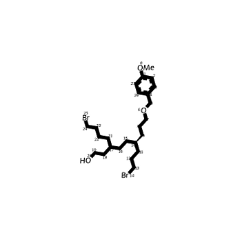 COc1ccc(COCCC[C@@H](CCCBr)CCC(CCO)CCCCBr)cc1